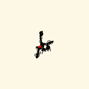 CCOC(=O)CN(C)Cc1cccc(Nc2cc(N(Cc3c(OC)cc(OCCOCc4ccc(C)cc4)cc3OC)c3ccc(OC)c(OCCNC(=O)OC(C)(C)C)c3)ncn2)c1